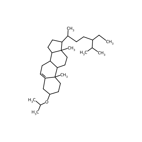 CCC(CCC(C)C1CCC2C3CC=C4CC(OC(C)C)CCC4(C)C3CCC12C)C(C)C